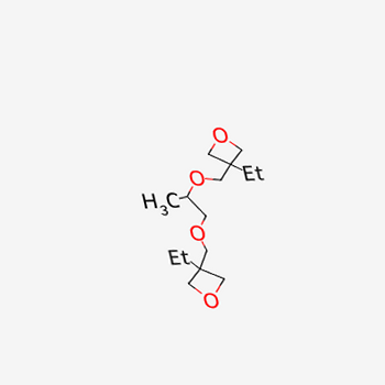 CCC1(COCC(C)OCC2(CC)COC2)COC1